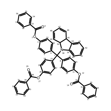 O=C(Oc1ccc(C(c2ccc(OC(=O)c3ccccc3)cc2)(c2ccc(OC(=O)c3ccccc3)cc2)N2c3ccccc3C3C=CC=CC32)cc1)c1ccccc1